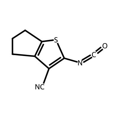 N#Cc1c(N=C=O)sc2c1CCC2